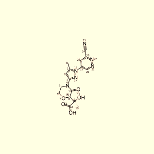 Cc1cc(N2CCO[C@H]([C@@](C)(O)C(=O)O)C2=O)nn1-c1cnnc(C#N)c1